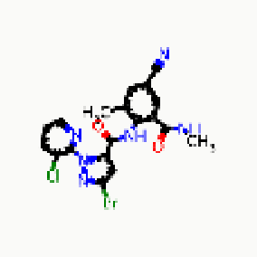 CNC(=O)c1cc(C#N)cc(C)c1NC(=O)c1cc(Br)nn1-c1ncccc1Cl